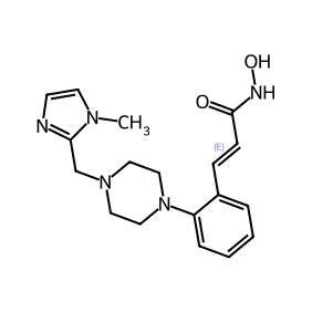 Cn1ccnc1CN1CCN(c2ccccc2/C=C/C(=O)NO)CC1